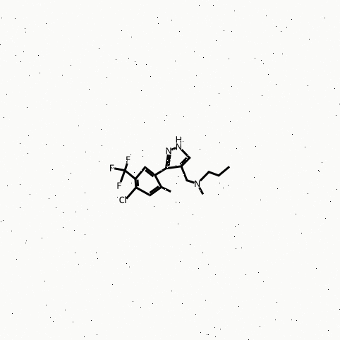 CCCN(C)Cc1c[nH]nc1-c1cc(C(F)(F)F)c(Cl)cc1C